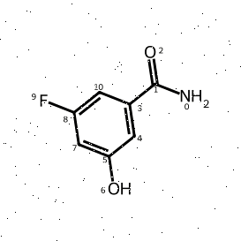 NC(=O)c1cc(O)cc(F)c1